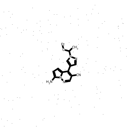 CCOC(C)n1cc(-c2c(C#N)cnn3c(N)ccc23)cn1